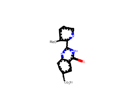 CCOC(=O)c1ccc2nc(-c3ncccc3OC)[nH]c(=O)c2c1